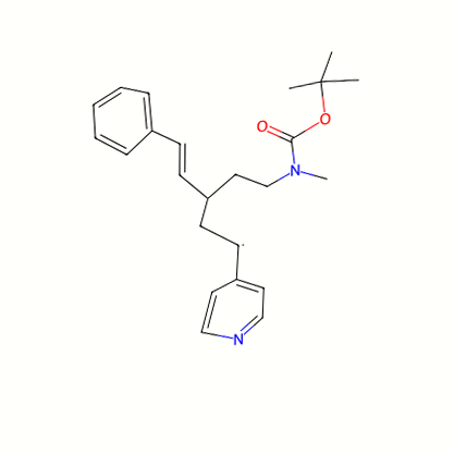 CN(CCC(C=Cc1ccccc1)C[CH]c1ccncc1)C(=O)OC(C)(C)C